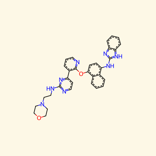 c1cnc(Oc2ccc(Nc3nc4ccccc4[nH]3)c3ccccc23)c(-c2ccnc(NCCN3CCOCC3)n2)c1